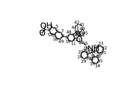 O=C(O)c1ccc2cc(-c3ccc(OCCCNC(c4ccccc4)(c4ccccc4)c4ccccc4)c(C45CC6CC(CC(C6)C4)C5)c3)ccc2c1